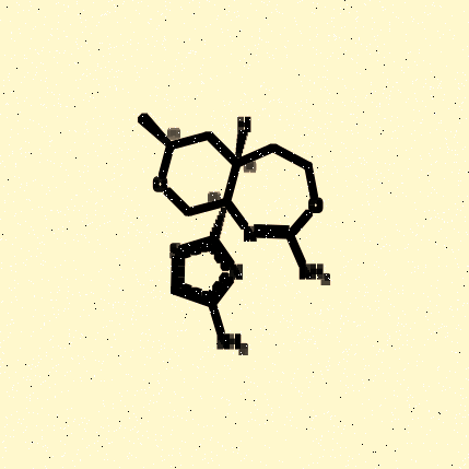 C[C@H]1C[C@H]2CCOC(N)=N[C@@]2(c2nc(N)cs2)CO1